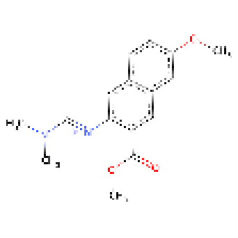 COC(=O)c1cc2cc(OC)ccc2cc1/N=C/N(C)C